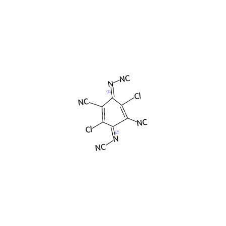 [C-]#[N+]/N=C1C(Cl)=C([N+]#[C-])/C(=N/C#N)C(Cl)=C\1C#N